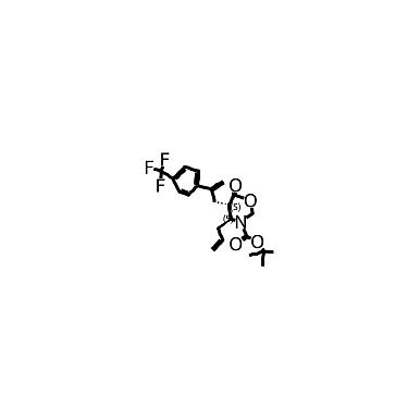 C=CC[C@H]1[C@H](CC(=C)c2ccc(C(F)(F)F)cc2)C(=O)OCN1C(=O)OC(C)(C)C